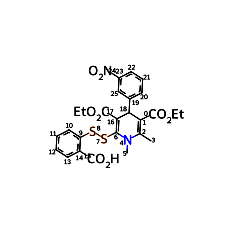 CCOC(=O)C1=C(C)N(C)C(SSc2ccccc2C(=O)O)=C(C(=O)OCC)C1c1cccc([N+](=O)[O-])c1